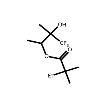 CCC(C)(C)C(=O)OC(C)C(C)(O)C(F)(F)F